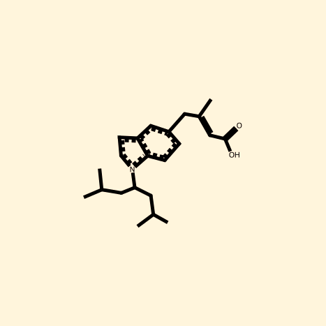 CC(=CC(=O)O)Cc1ccc2c(ccn2C(CC(C)C)CC(C)C)c1